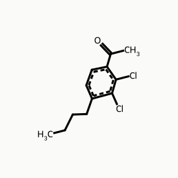 CCCCc1ccc(C(C)=O)c(Cl)c1Cl